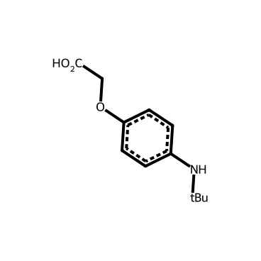 CC(C)(C)Nc1ccc(OCC(=O)O)cc1